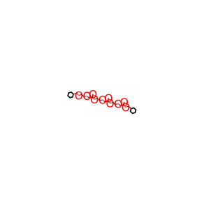 O=C(COCCOCc1ccccc1)OCCOCC(=O)OCCOCC(=O)OCc1ccccc1